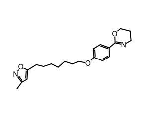 Cc1cc(CCCCCCCOc2ccc(C3=NCCCO3)cc2)on1